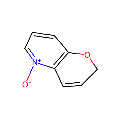 [O-][n+]1cccc2c1C=CCO2